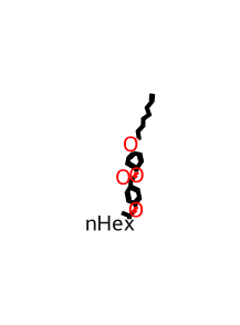 C=CCCCCCCOc1ccc(OC(=O)c2ccc(OC(C)CCCCCC)cc2)cc1